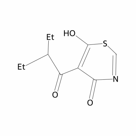 CCC(CC)C(=O)c1c(O)scnc1=O